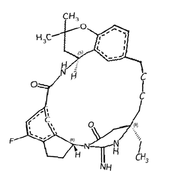 CC[C@]12CCCCc3ccc4c(c3)[C@H](CC(C)(C)O4)NC(=O)c3cc(F)c4c(c3)[C@@H](CC4)N(C(=N)N1)C(=O)C2